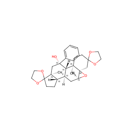 C[C@]12C[C@@](O)(c3ccccc3)[C@H]3[C@@H](C[C@@H]4O[C@@]45CC4(CC[C@]35C)OCCO4)[C@@H]1CCC21OCCO1